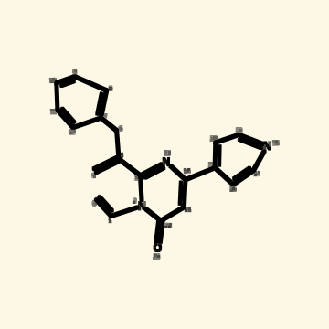 C=Cn1c(C(=C)Cc2ccccc2)nc(-c2ccncc2)cc1=O